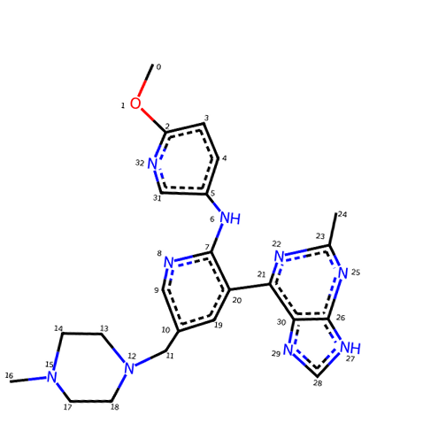 COc1ccc(Nc2ncc(CN3CCN(C)CC3)cc2-c2nc(C)nc3[nH]cnc23)cn1